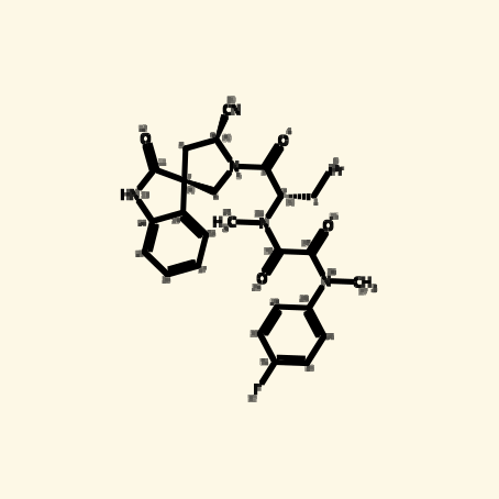 CC(C)C[C@@H](C(=O)N1C[C@]2(C[C@H]1C#N)C(=O)Nc1ccccc12)N(C)C(=O)C(=O)N(C)c1ccc(F)cc1